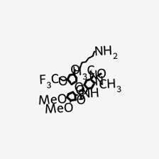 COc1ccc(S(=O)(=O)Nc2cc3c(cc2Oc2cc(OCCCCCCN)cc(OCC(F)(F)F)c2)n(C)c(=O)n3C)cc1OC